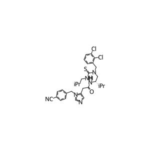 CC(C)CNC(=S)N(Cc1cccc(Cl)c1Cl)C[C@@H](NC(=O)Cc1cncn1Cc1ccc(C#N)cc1)C(C)C